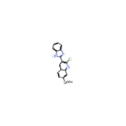 COc1ccc2cc(-c3nc4ccccc4[nH]3)c(Cl)nc2c1